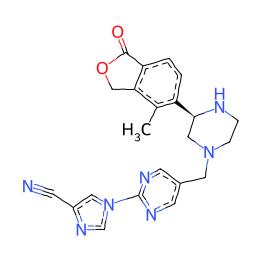 Cc1c([C@@H]2CN(Cc3cnc(-n4cnc(C#N)c4)nc3)CCN2)ccc2c1COC2=O